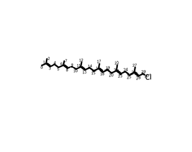 CC(C)=CCC/C(C)=C/CC/C(C)=C/CC/C(C)=C/CC/C(C)=C/CC/C(C)=C/CCl